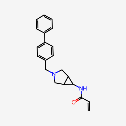 C=CC(=O)NC1C2CN(Cc3ccc(-c4ccccc4)cc3)CC21